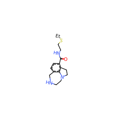 CCSCCNC(=O)c1ccc2c3c1CCN3CCNC2